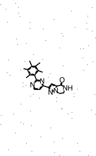 Cc1c(C)c(C)c(-c2nccc(-c3cc4n(n3)CCNC4=O)n2)c(C)c1C